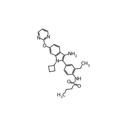 CCCS(=O)(=O)Nc1ccc(-c2c(N)c3ccc(Oc4ncccn4)cc3n2C2CCC2)cc1CC